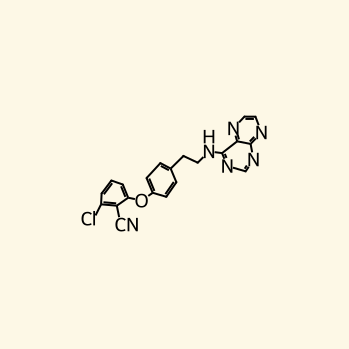 N#Cc1c(Cl)cccc1Oc1ccc(CCNc2ncnc3nccnc23)cc1